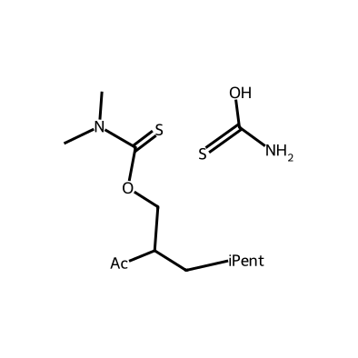 CCCC(C)CC(COC(=S)N(C)C)C(C)=O.NC(O)=S